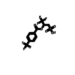 O=C(OC(CS(=O)(=O)O)C(F)(F)F)c1ccc(C(F)(F)F)cc1